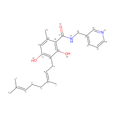 CC(C)=CCC/C(C)=C/Cc1c(O)cc(C)c(C(=O)NCc2cccnc2)c1O